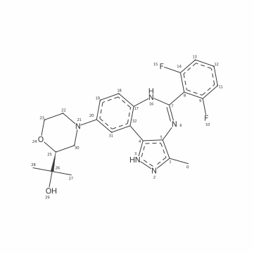 Cc1n[nH]c2c1N=C(c1c(F)cccc1F)Nc1ccc(N3CCO[C@H](C(C)(C)O)C3)cc1-2